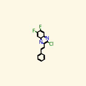 Fc1cc2nc(Cl)c(C=Cc3ccccc3)nc2cc1F